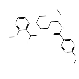 CC[C@H](NC(=O)c1cnc(OC)nc1)[C@H]1CC[C@@H](c2ccnc(OC)c2C(F)F)CC1